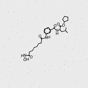 CC(C)CC(NC(=O)c1cccc(NC(=O)CCCCCCC(=O)NO)c1)C(=O)OC1CCCC1